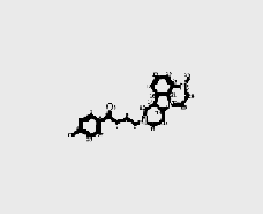 Cc1ccc(C(=O)CCCN2CCC3C(C2)c2cccc4c2N3CCN4C)cc1